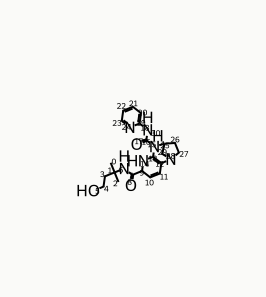 CC(C)(CCO)NC(=O)C1C=CC2=C(N1)N(C(=O)Nc1ccccn1)[C@H]1CCN2C1